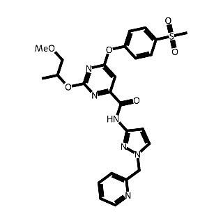 COCC(C)Oc1nc(Oc2ccc(S(C)(=O)=O)cc2)cc(C(=O)Nc2ccn(Cc3ccccn3)n2)n1